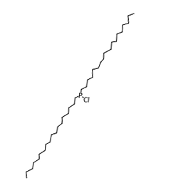 CCCCCCCCCCCCCCCCCCP(Cl)CCCCCCCCCCCCCCCCCC